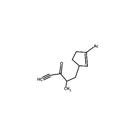 C#CC(=O)C(C)CC1C=C(C(C)=O)CC1